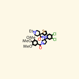 CCN1CCC(C(=O)NC2(c3ccc(Cl)c(Cl)c3)CCN(C(=O)c3cc(OC)c(OC)c(OC)c3)C2)(c2cccs2)CC1